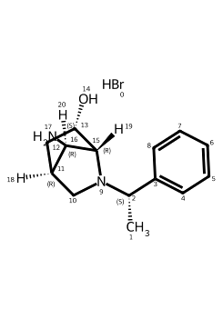 Br.C[C@@H](c1ccccc1)N1C[C@H]2C[C@H](O)[C@H]1[C@@H]2N